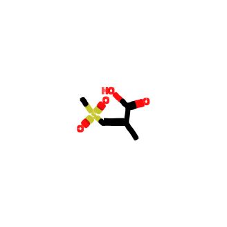 CC(=CS(C)(=O)=O)C(=O)O